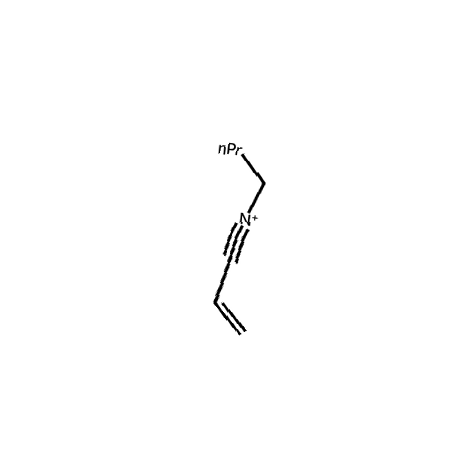 C=CC#[N+]CCCC